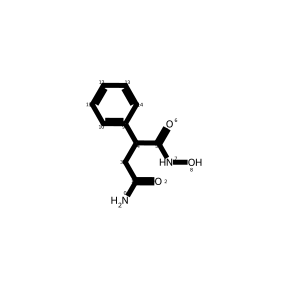 NC(=O)CC(C(=O)NO)c1ccccc1